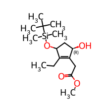 CCC1=C(CC(=O)OC)[C@H](O)CC1O[Si](C)(C)C(C)(C)C